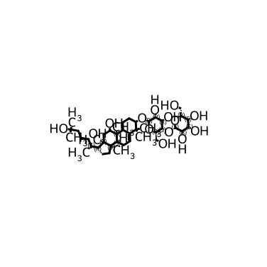 C[C@H](C(O)CCC(C)(C)O)[C@H]1CC[C@@]2(C)[C@@H]3CC=C4C(CCC(O[C@@H]5O[C@H](CO)[C@@H](O[C@@H]6O[C@H](CO)[C@@H](O)[C@H](O)[C@H]6O)[C@H](O)[C@H]5O)C4(C)C)[C@]3(C)C(O)C[C@]12C